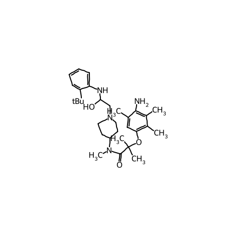 Cc1cc(OC(C)(C)C(=O)N(C)C2CCN(CC(O)Nc3ccccc3C(C)(C)C)CC2)c(C)c(C)c1N